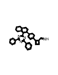 N=CC1CC=C1c1ccc(-c2ccc3ccccc3c2-c2nc(-c3ccccc3)nc(-c3ccccc3)n2)cc1